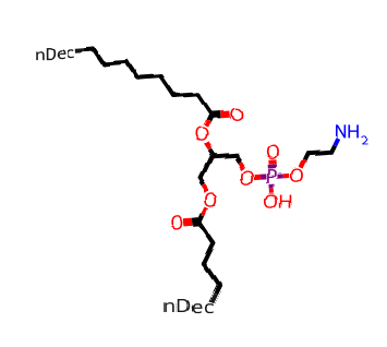 CCCCCCCCCCCCCCCCCC(=O)OC(COC(=O)CCCCCCCCCCCCC)COP(=O)(O)OCCN